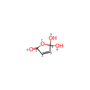 O=C1C=CC(O)(O)O1